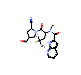 CN(C(=O)c1cc2cccnc2[nH]1)C(CC(C)(C)F)C(=O)N1CC(C=O)CC1C#N